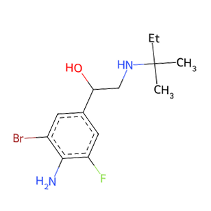 CCC(C)(C)NCC(O)c1cc(F)c(N)c(Br)c1